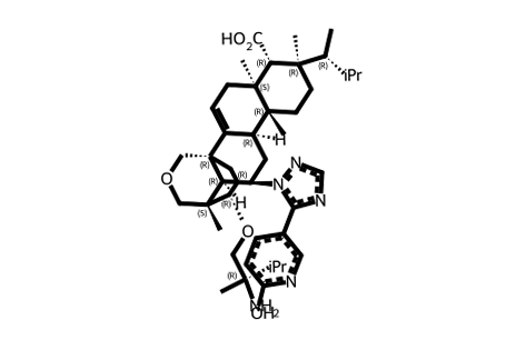 CC(C)[C@@H](C)[C@@]1(C)CC[C@]2(C)[C@H]3CC[C@@H]4[C@@]5(COC[C@@]4(C)[C@@H](OC[C@](C)(N)C(C)C)[C@H](n4ncnc4-c4ccc(O)nc4)C5)C3=CC[C@@]2(C)[C@@H]1C(=O)O